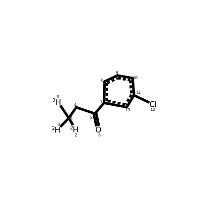 [2H]C([2H])([2H])CC(=O)c1cccc(Cl)c1